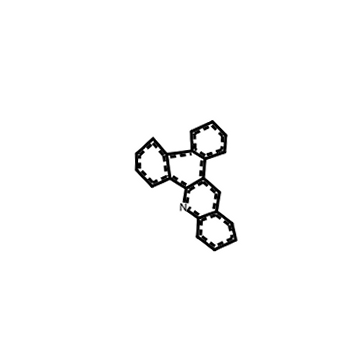 c1ccc2nc3c4ccccc4c4ccccc4c3cc2c1